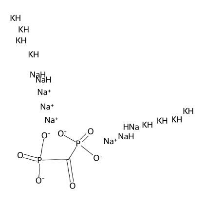 O=C(P(=O)([O-])[O-])P(=O)([O-])[O-].[KH].[KH].[KH].[KH].[KH].[KH].[KH].[KH].[Na+].[Na+].[Na+].[Na+].[NaH].[NaH].[NaH].[NaH]